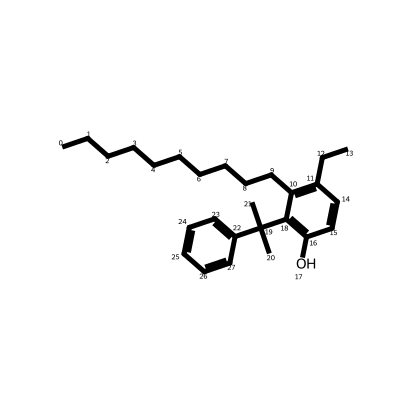 CCCCCCCCCCc1c(CC)ccc(O)c1C(C)(C)c1ccccc1